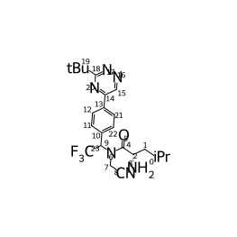 CC(C)C[C@H](N)C(=O)N(CC#N)C(c1ccc(-c2cnnc(C(C)(C)C)n2)cc1)C(F)(F)F